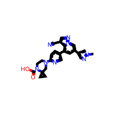 Cn1cc(-c2cc(-c3ccc(N4CCN(C(=O)O)C5(CC5)C4)nc3)c3c(C#N)cnn3c2)cn1